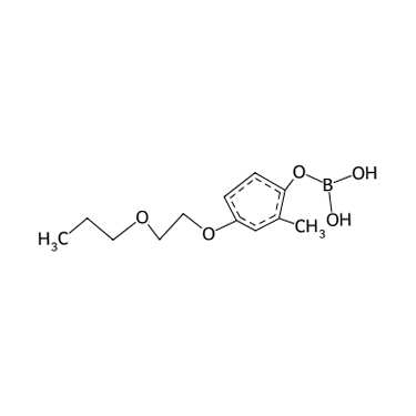 CCCOCCOc1ccc(OB(O)O)c(C)c1